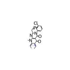 C/C=c1/c(=O)c2c(=O)n(-c3cccc(Cl)c3)c(CC(C)C)nc2n(C)/c1=C/C